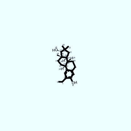 CCc1cc2c(cc1O)CC[C@@H]1[C@@H]2CC[C@]2(C)[C@H](O)C(C)(C)C[C@@H]12